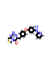 N#C[C@@H]1CSCN1C(=O)C(N)Cc1ccc(Oc2ccc(Nc3ccccn3)cc2)cc1